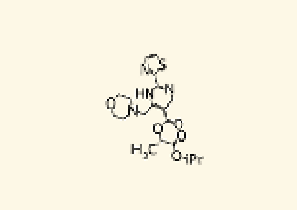 CC(C)OC(=O)[C@H](C)OC(=O)C1=C(CN2CCOCC2)NC(c2nccs2)=NC1